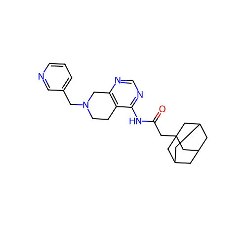 O=C(CC12CC3CC(CC(C3)C1)C2)Nc1ncnc2c1CCN(Cc1cccnc1)C2